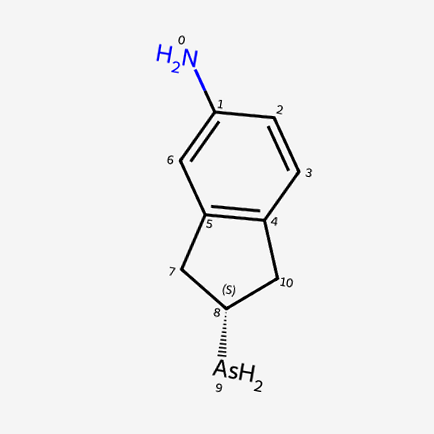 Nc1ccc2c(c1)C[C@@H]([AsH2])C2